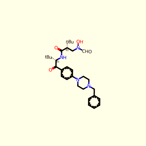 CCCC[C@H](CN(O)C=O)C(=O)N[C@H](C(=O)c1ccc(N2CCN(Cc3ccccc3)CC2)cc1)C(C)(C)C